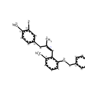 C/C(=C/c1c(C)cccc1OCc1ccccc1)Cc1ccc(O)c(F)c1